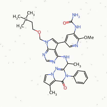 COc1ncc(-c2cn(COCC[Si](C)(C)C)c3ncnc(NC(C)c4nn5ccc(C)c5c(=O)n4-c4ccccc4)c23)cc1NC(N)=O